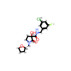 O=C(NCc1cc(F)cc(Cl)c1)C1(O)CCN(C[C@@H]2CCCO2)C1=O